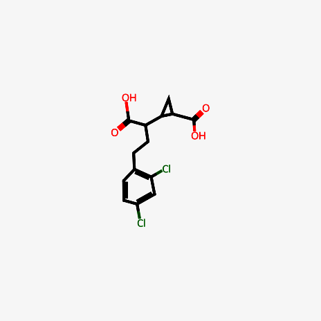 O=C(O)C(CCc1ccc(Cl)cc1Cl)C1CC1C(=O)O